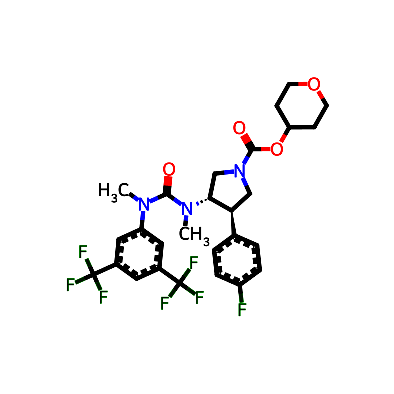 CN(C(=O)N(C)[C@@H]1CN(C(=O)OC2CCOCC2)C[C@H]1c1ccc(F)cc1)c1cc(C(F)(F)F)cc(C(F)(F)F)c1